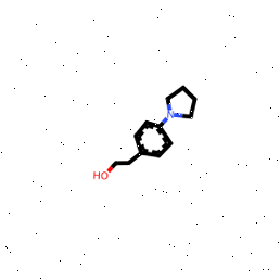 OCCc1ccc(N2CCCC2)cc1